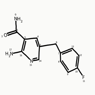 NC(=O)c1cc(Cc2ccc(F)cc2)cnc1N